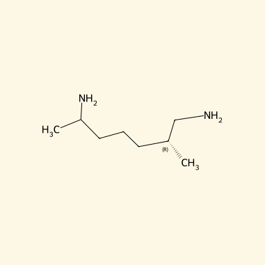 CC(N)CCC[C@@H](C)CN